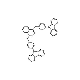 c1ccc2c(Cc3ccc(-n4c5ccccc5c5ccccc54)cc3)ccc(Cc3ccc(-n4c5ccccc5c5ccccc54)cc3)c2c1